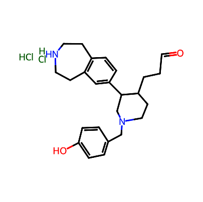 Cl.Cl.O=CCCC1CCN(Cc2ccc(O)cc2)CC1c1ccc2c(c1)CCNCC2